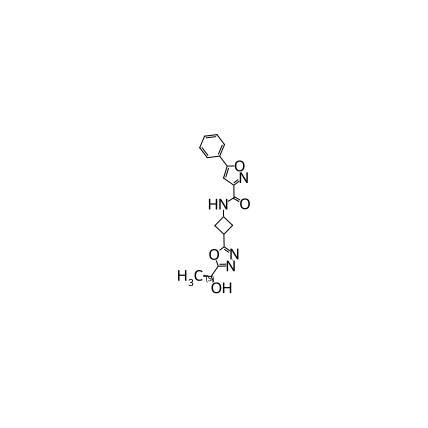 C[C@H](O)c1nnc(C2CC(NC(=O)c3cc(-c4ccccc4)on3)C2)o1